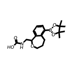 CC1(C)OB(c2cccc3c2CCCOC3CNC(=O)O)OC1(C)C